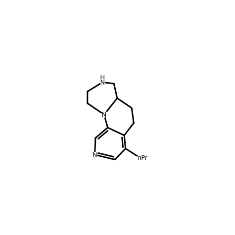 CCCc1cncc2c1CCC1CNCCN21